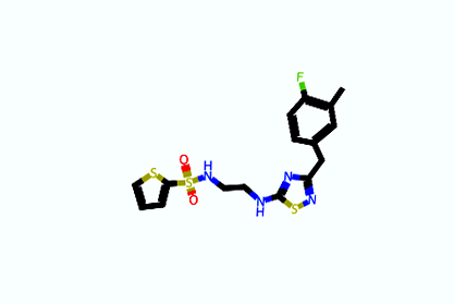 Cc1cc(Cc2nsc(NCCNS(=O)(=O)c3cccs3)n2)ccc1F